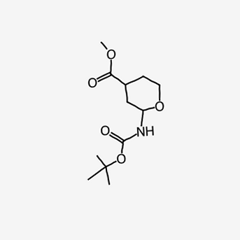 COC(=O)C1CCOC(NC(=O)OC(C)(C)C)C1